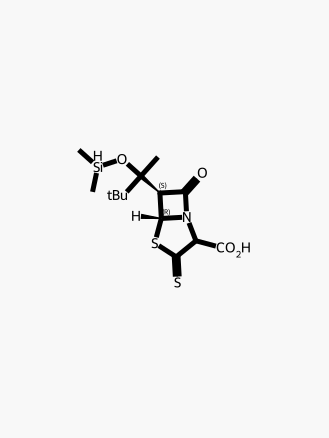 C[SiH](C)OC(C)([C@H]1C(=O)N2C(C(=O)O)C(=S)S[C@H]12)C(C)(C)C